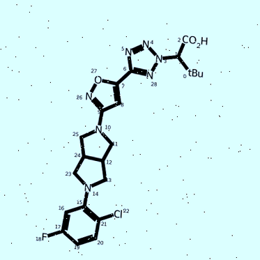 CC(C)(C)C(C(=O)O)n1nnc(-c2cc(N3CC4CN(c5cc(F)ccc5Cl)CC4C3)no2)n1